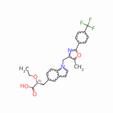 CCO[C@@H](Cc1ccc2c(ccn2Cc2nc(-c3ccc(C(F)(F)F)cc3)oc2C)c1)C(=O)O